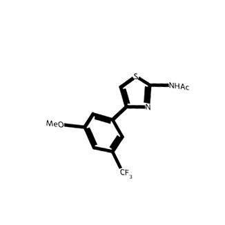 COc1cc(-c2csc(NC(C)=O)n2)cc(C(F)(F)F)c1